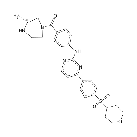 C[C@@H]1CN(C(=O)c2ccc(Nc3nccc(-c4ccc(S(=O)(=O)C5CCOCC5)cc4)n3)cc2)CCN1